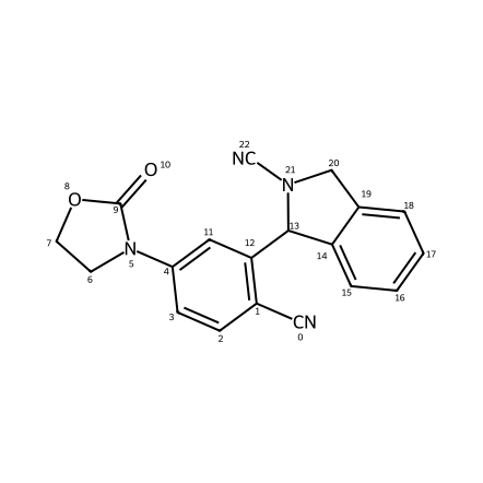 N#Cc1ccc(N2CCOC2=O)cc1C1c2ccccc2CN1C#N